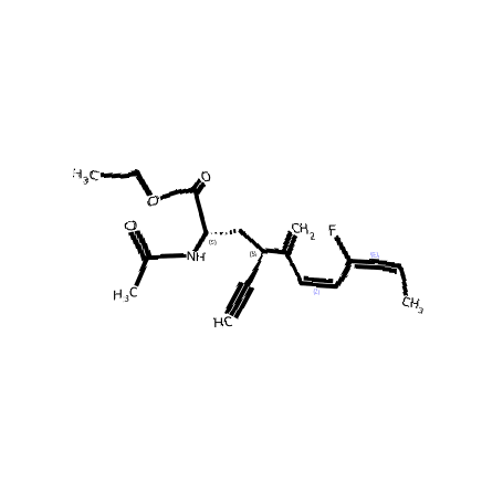 C#C[C@@H](C[C@H](NC(C)=O)C(=O)OCC)C(=C)/C=C\C(F)=C/C